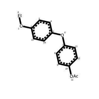 CCOc1ccc(Oc2ccc(OC(C)=O)cc2)cc1